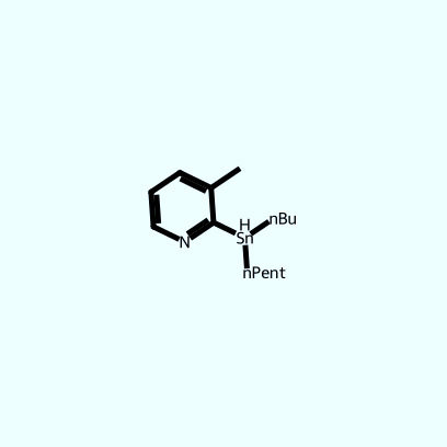 CCCC[CH2][SnH]([CH2]CCC)[c]1ncccc1C